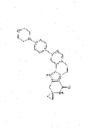 O=C1NC2(CC2)Cc2[nH]c3c(c21)CCc1cnc(-c2ccc(N4CCOCC4)cc2)cc1-3